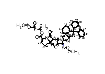 CCO/N=C(/C(=O)NC1C(=O)N2C(C(=O)OC(C)OC(=O)OCC)=CCS[C@H]12)c1csc(NC(c2ccccc2)(c2ccccc2)c2ccccc2)n1